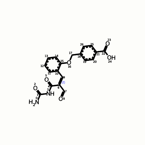 NC(=O)NC(=O)/C(C=O)=C\c1ccccc1OCc1ccc(C(=O)O)cc1